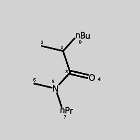 CCCCC(C)C(=O)N(C)CCC